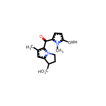 COc1ccc(C(=O)c2c(C)cc3n2CCC3C(=O)O)n1C